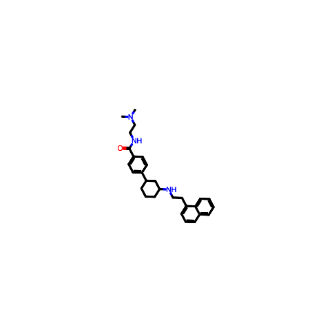 CN(C)CCNC(=O)c1ccc(C2CCCC(NCCc3cccc4ccccc34)C2)cc1